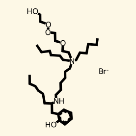 CCCCCCC(Cc1ccccc1O)NCCCCCC[N+](CCCCCC)(CCCCCC)CCOCCOOCCO.[Br-]